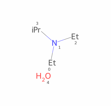 CCN(CC)C(C)C.O